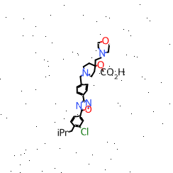 CC(C)Cc1ccc(-c2nc(-c3ccc(CN4CCC(CCN5CCOCC5)(OC(=O)O)CC4)cc3)no2)cc1Cl